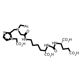 CC(=O)CN(CC(=O)NCCCC[C@H](NC(=O)N[C@@H](CCC(=O)O)C(=O)O)C(=O)O)Cc1nccn1CC(=O)O